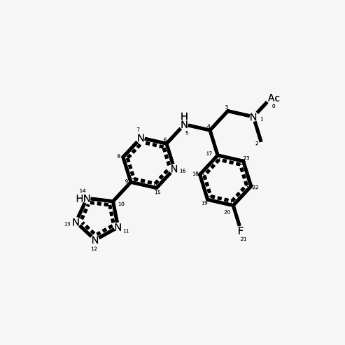 CC(=O)N(C)CC(Nc1ncc(-c2nnn[nH]2)cn1)c1ccc(F)cc1